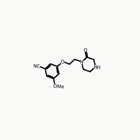 COc1cc(C#N)cc(OCCN2CCNCC2=O)c1